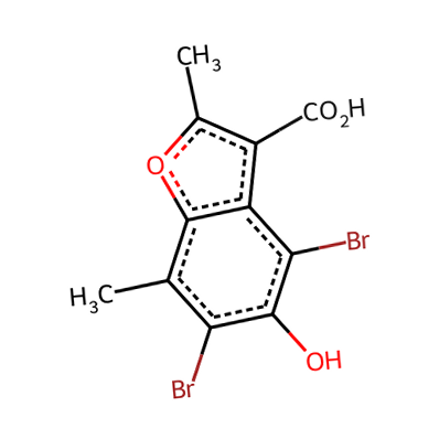 Cc1oc2c(C)c(Br)c(O)c(Br)c2c1C(=O)O